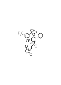 C[C@@H](O[C@H]1CCN(C(=O)CCN2C(=O)CCC2=O)C[C@H]1c1ccccc1)c1cc(C(F)(F)F)cc(C(F)(F)F)c1